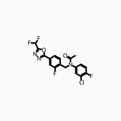 [CH2]C(=O)N(Cc1ccc(-c2nnc(C(F)F)o2)cc1F)c1ccc(F)c(Cl)c1